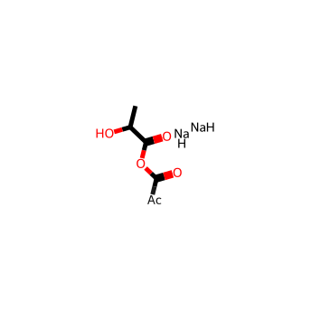 CC(=O)C(=O)OC(=O)C(C)O.[NaH].[NaH]